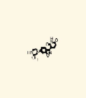 Cn1nc(C2CCC(=O)NC2=O)c2ccc(N3CCNC(C(F)(F)F)C3)cc21